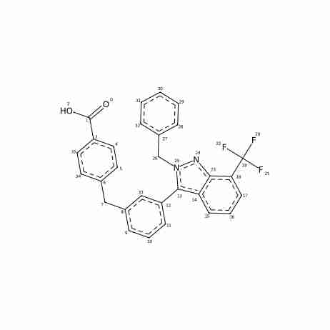 O=C(O)c1ccc(Cc2cccc(-c3c4cccc(C(F)(F)F)c4nn3Cc3ccccc3)c2)cc1